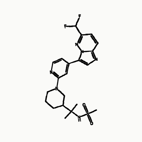 CC(C)(NS(C)(=O)=O)C1CCCN(c2cc(-c3cnc4ccc(C(F)F)nn34)ccn2)C1